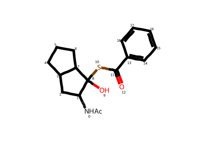 CC(=O)NC1CC2CCCC2C1(O)SC(=O)c1ccccc1